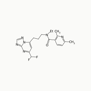 CCN(CCCc1cc(C(F)F)nc2ncnn12)C(=O)c1ccc(C)nc1C